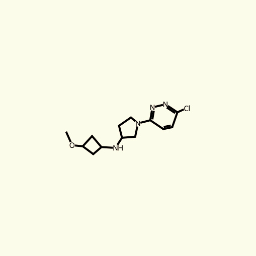 COC1CC(NC2CCN(c3ccc(Cl)nn3)C2)C1